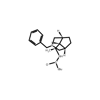 C[C@H](N[S+]([O-])C(C)(C)C)[C@H]1[C@@H]2CC[C@H]1CN(Cc1ccccc1)C2